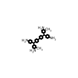 Cc1cc(C(c2ccc(N)cc2)c2ccc(-c3ccc(C(c4ccc(N)cc4)c4ccc(N)c(C)c4)cc3)cc2)ccc1N